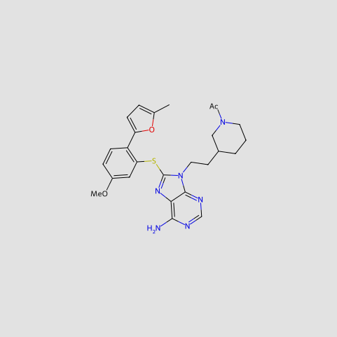 COc1ccc(-c2ccc(C)o2)c(Sc2nc3c(N)ncnc3n2CCC2CCCN(C(C)=O)C2)c1